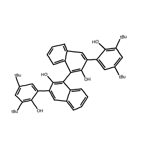 CC(C)(C)c1cc(-c2cc3ccccc3c(-c3c(O)c(-c4cc(C(C)(C)C)cc(C(C)(C)C)c4O)cc4ccccc34)c2O)c(O)c(C(C)(C)C)c1